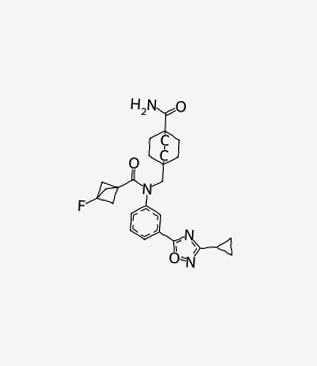 NC(=O)C12CCC(CN(C(=O)C34CC(F)(C3)C4)c3cccc(-c4nc(C5CC5)no4)c3)(CC1)CC2